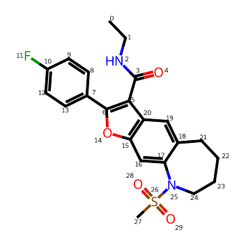 CCNC(=O)c1c(-c2ccc(F)cc2)oc2cc3c(cc12)CCCCN3S(C)(=O)=O